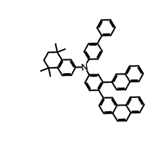 CC1(C)CCC(C)(C)c2cc(N(c3ccc(-c4ccccc4)cc3)c3ccc(-c4ccc5ccc6ccccc6c5c4)c(-c4ccc5ccccc5c4)c3)ccc21